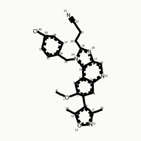 COc1cc2c(cc1-c1c(C)noc1C)ncc1nc(CCC#N)n(Cc3ccc(Cl)cc3)c12